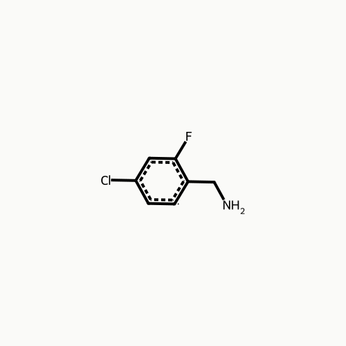 NCc1[c]cc(Cl)cc1F